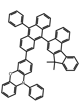 CC1(C)c2ccccc2-c2c1cc(-c1c3ccccc3c(-c3ccccc3)c3ccc(-c4ccc5c(c4)Oc4ccccc4N5c4ccccc4)cc13)c1ccccc21